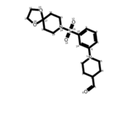 O=CC1CCN(c2cccc(S(=O)(=O)N3CCC4(CC3)OCCO4)c2)CC1